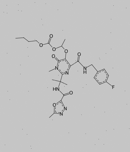 CCCCOC(=O)OC(C)Oc1c(C(=O)NCc2ccc(F)cc2)nc(C(C)(C)NC(=O)c2nnc(C)o2)n(C)c1=O